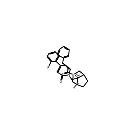 O=C(CCc1ccccc1)N1CC2CC[C@H](C1)C2(O)Cn1cnc(-c2ccccc2F)cc1=O